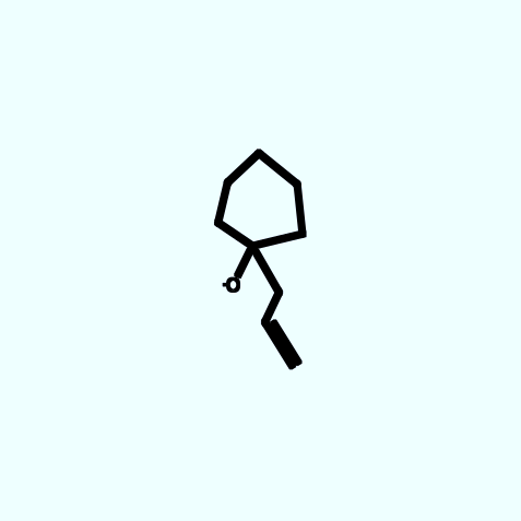 C=CCC1([O])CCCCC1